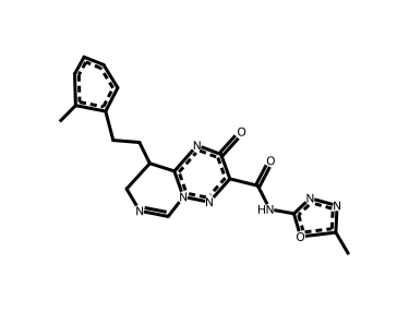 Cc1nnc(NC(=O)c2nn3c(nc2=O)C(CCc2ccccc2C)CN=C3)o1